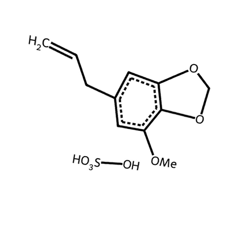 C=CCc1cc(OC)c2c(c1)OCO2.O=S(=O)(O)O